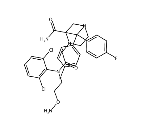 NOCCN(C(=O)CN1CCN2CC1(C(N)=O)C2(c1ccc(F)cc1)c1ccc(F)cc1)c1c(Cl)cccc1Cl